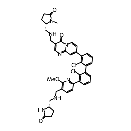 COc1nc(-c2cccc(-c3cccc(-c4ccn5c(=O)c(CNC[C@@H]6CCC(=O)N6C)cnc5c4)c3Cl)c2Cl)ccc1CNC[C@@H]1CCC(=O)N1